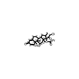 CCCC(=O)OC1(C(=O)CCl)C(C)CC2C3CCC4=CC(=O)C=CC4(C)C3(F)C(O)CC21C